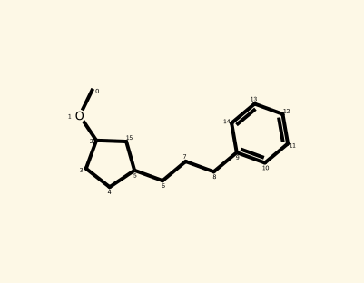 COC1CCC(CCCc2ccccc2)C1